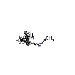 CCCCCCCC/C=C\CCCCCCCC(=O)N(CCOC)C[C@H](O)[C@@H](O)[C@H](O)[C@H](O)CO